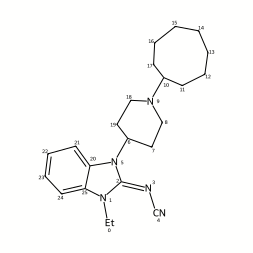 CCn1c(=NC#N)n(C2CCN(C3CCCCCCC3)CC2)c2ccccc21